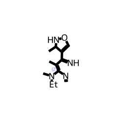 C=N/C(=C(/C)C(=N)C1=CONC1C)N(C)CC